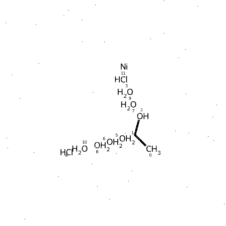 CCO.Cl.Cl.O.O.O.O.O.O.[Ni]